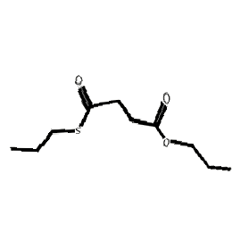 CCCOC(=O)CCC(=O)SCCC